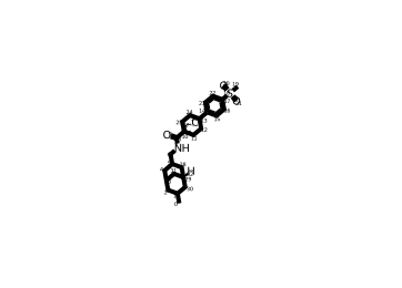 CC1CC2CC(CNC(=O)C34CCC(c5ccc(S(C)(=O)=O)cc5)(CC3)CC4)C[C@H](C1)C2